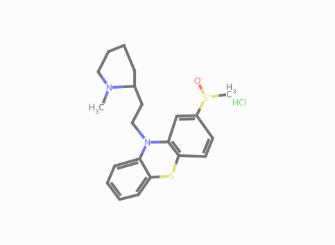 CN1CCCCC1CCN1c2ccccc2Sc2ccc([S+](C)[O-])cc21.Cl